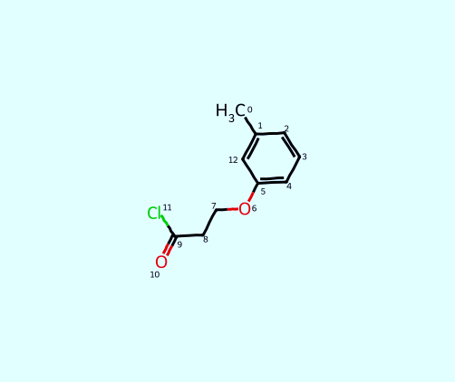 Cc1cccc(OCCC(=O)Cl)c1